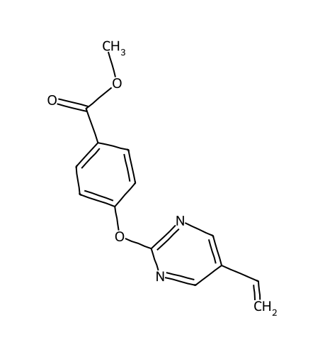 C=Cc1cnc(Oc2ccc(C(=O)OC)cc2)nc1